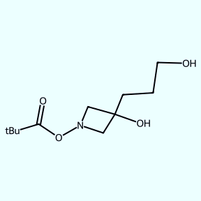 CC(C)(C)C(=O)ON1CC(O)(CCCO)C1